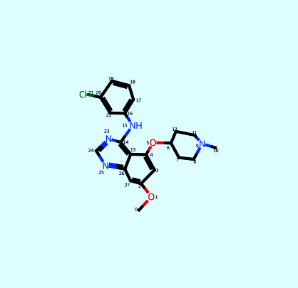 COc1cc(OC2CCN(C)CC2)c2c(Nc3cccc(Cl)c3)ncnc2c1